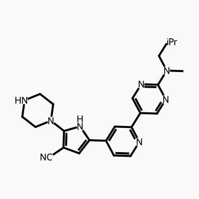 CC(C)CN(C)c1ncc(-c2cc(-c3cc(C#N)c(N4CCNCC4)[nH]3)ccn2)cn1